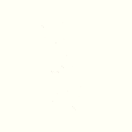 CNC(=S)C1(c2cccnc2)CCCC/C1=N\OCc1cccnc1